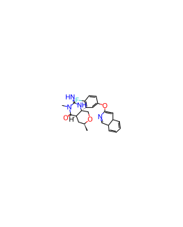 C[C@H]1C[C@H]2C(=O)N(C)C(=N)N[C@@]2(c2cc(OC3=CC4C=CC=CC4C=N3)ccc2F)CO1